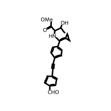 COC(=O)C(NC(=C1CC1)c1ccc(C#Cc2ccc(C=O)cc2)cc1)C(C)O